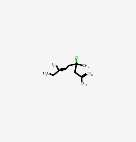 C=C(C)CC(C)(Cl)C/C=C(\C)CC